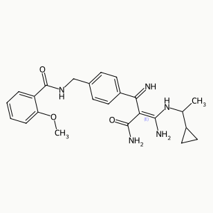 COc1ccccc1C(=O)NCc1ccc(C(=N)/C(C(N)=O)=C(/N)NC(C)C2CC2)cc1